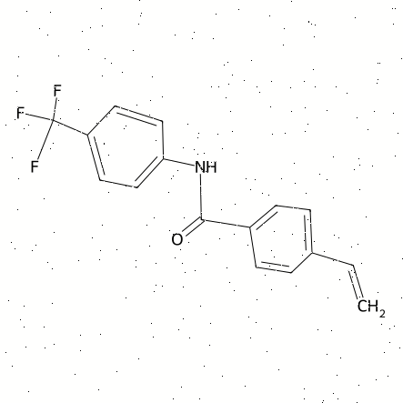 C=Cc1ccc(C(=O)Nc2ccc(C(F)(F)F)cc2)cc1